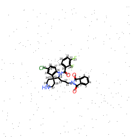 O=C1c2ccccc2C(=O)N1CCCC1N(C(=O)c2cccc(F)c2F)c2ccc(Cl)cc2C12CCNCC2